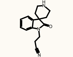 N#CCCN1C(=O)C2(CCNCC2)c2ccccc21